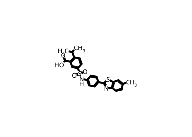 Cc1ccc2nc(-c3ccc(NS(=O)(=O)c4ccc(C(C)C)c(C(=O)O)c4)cc3)sc2c1